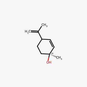 C=C(C)C1C=C[C@@](C)(O)CC1